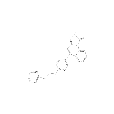 O=c1[nH]nc2cc(-c3ccc(CNCc4ccncc4)cc3)c3ccccc3n12